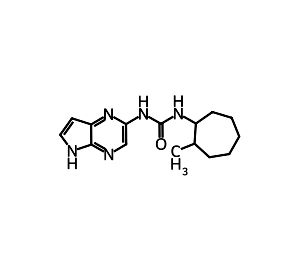 CC1CCCCCC1NC(=O)Nc1cnc2[nH]ccc2n1